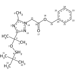 Cc1nc(C(C)(C)O[SiH2]C(C)(C)C)nn1CC(=O)OCc1ccccc1